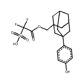 O=C(OCC12CC3CC(C1)CC(c1ccc(O)cc1)(C3)C2)C(F)(F)S(=O)(=O)O